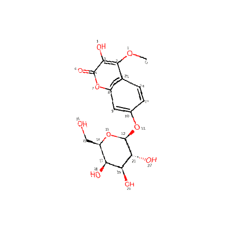 COc1c(O)c(=O)oc2cc(O[C@@H]3O[C@H](CO)[C@H](O)[C@H](O)[C@H]3O)ccc12